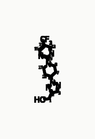 OCc1cnn(C2CCN(c3ncc(C(F)(F)F)cn3)CC2)n1